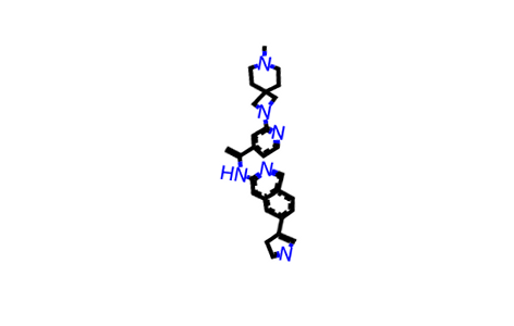 C=C(Nc1cc2cc(C3=CN=CC3)ccc2cn1)c1ccnc(N2CC3(CCN(C)CC3)C2)c1